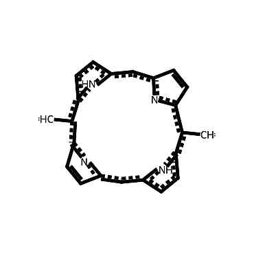 [CH]c1c2nc(cc3ccc([nH]3)c([CH])c3nc(cc4ccc1[nH]4)C=C3)C=C2